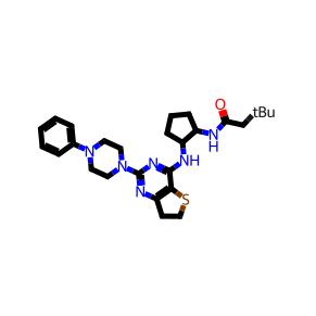 CC(C)(C)CC(=O)NC1CCCC1Nc1nc(N2CCN(c3ccccc3)CC2)nc2c1SCC2